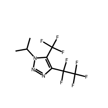 CC(C)n1nnc(C(F)(F)C(F)(F)F)c1C(F)(F)F